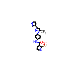 C[S+]([O-])c1ncccc1C(=O)Nc1ccc(-n2nc(-c3cccnc3)cc2C(F)(F)F)cc1